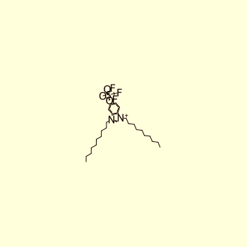 CCCCCCCCCCn1c[n+](CCCCCCCCCC)c2ccccc21.O=S(=O)([O-])C(F)(F)F